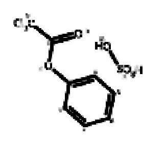 O=C(Oc1ccccc1)C(Cl)(Cl)Cl.O=S(=O)(O)O